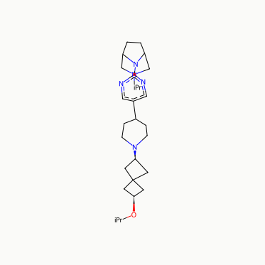 CC(C)O[C@H]1CC2(C1)C[C@H](N1CCC(c3cnc(N4C5CCC4CN(C(C)C)C5)nc3)CC1)C2